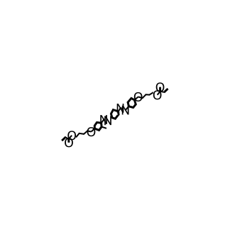 C=CC(=O)OCCCCOc1ccc(/N=N/c2ccc(/N=N/c3ccc(OCCCCOC(=O)C=C)cc3C)cc2)cc1